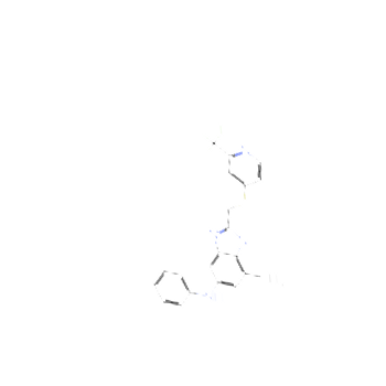 Cc1cc(Nc2ccccc2)cc2nc(CSc3ccnc(C(F)(F)F)c3)[nH]c12